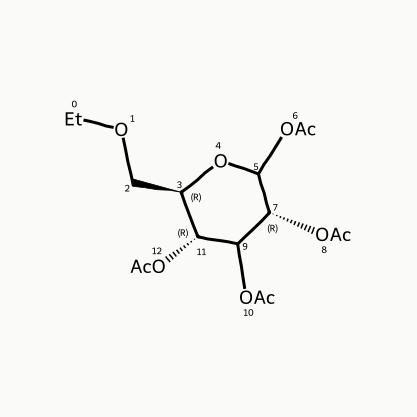 CCOC[C@H]1OC(OC(C)=O)[C@H](OC(C)=O)C(OC(C)=O)[C@@H]1OC(C)=O